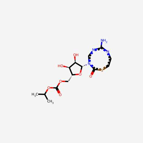 CC(C)OC(=O)OC[C@H]1O[C@@H](n2cnc(N)nccsc2=O)[C@H](O)[C@@H]1O